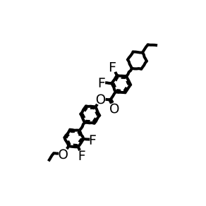 CCOc1ccc(-c2ccc(OC(=O)c3ccc(C4CCC(CC)CC4)c(F)c3F)cc2)c(F)c1F